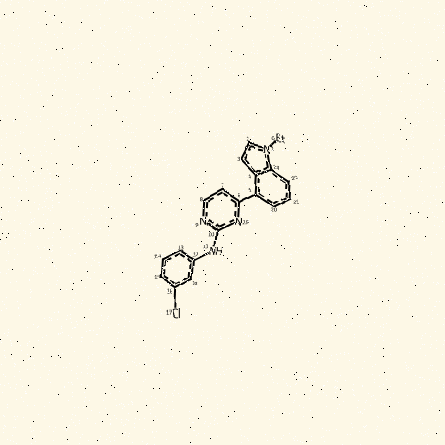 CCn1ccc2c(-c3ccnc(Nc4cccc(Cl)c4)n3)cccc21